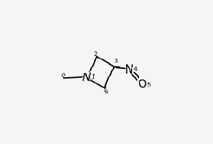 CN1CC(N=O)C1